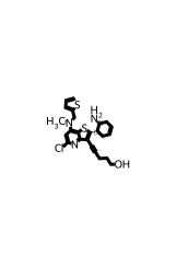 CN(Cc1cccs1)c1cc(Cl)nc2c(C#CCCCO)c([C@H]3CC=CC[C@@H]3N)sc12